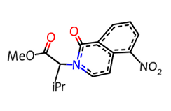 COC(=O)C(C(C)C)n1ccc2c([N+](=O)[O-])cccc2c1=O